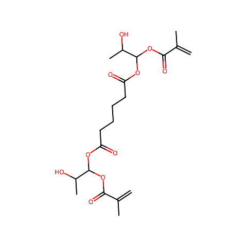 C=C(C)C(=O)OC(OC(=O)CCCCC(=O)OC(OC(=O)C(=C)C)C(C)O)C(C)O